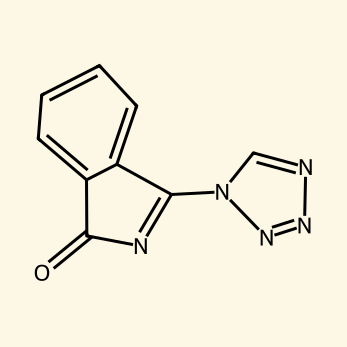 O=C1N=C(n2cnnn2)c2ccccc21